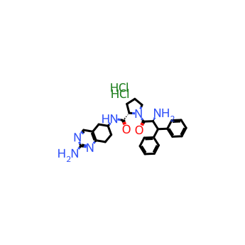 Cl.Cl.Nc1ncc2c(n1)CCC(NC(=O)[C@@H]1CCCN1C(=O)[C@@H](N)C(c1ccccc1)c1ccccc1)C2